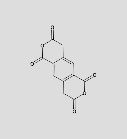 O=C1Cc2cc3c(cc2C(=O)O1)CC(=O)OC3=O